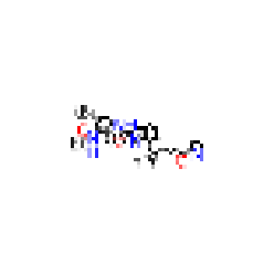 CCCC(CCCC(=O)[C@@H]1CCCN1C)Cc1cccc2cc(C(=O)Nc3cc(C(C)(C)C)cc(NC(=O)CC)c3OC)n(C)c12